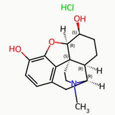 CN1CC[C@]23c4c5ccc(O)c4O[C@H]2[C@@H](O)CC[C@H]3[C@H]1C5.Cl